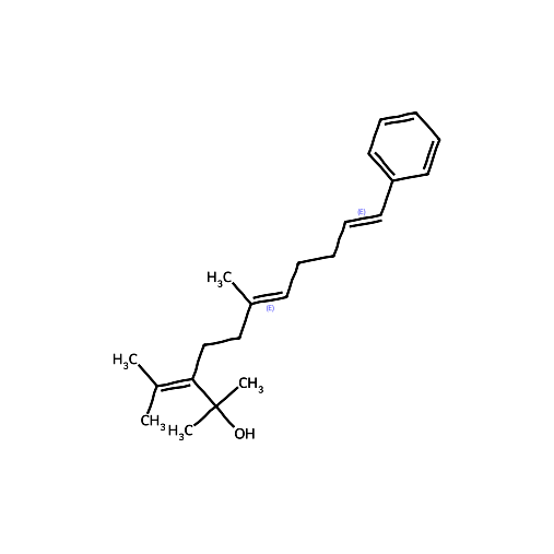 CC(C)=C(CC/C(C)=C/CC/C=C/c1ccccc1)C(C)(C)O